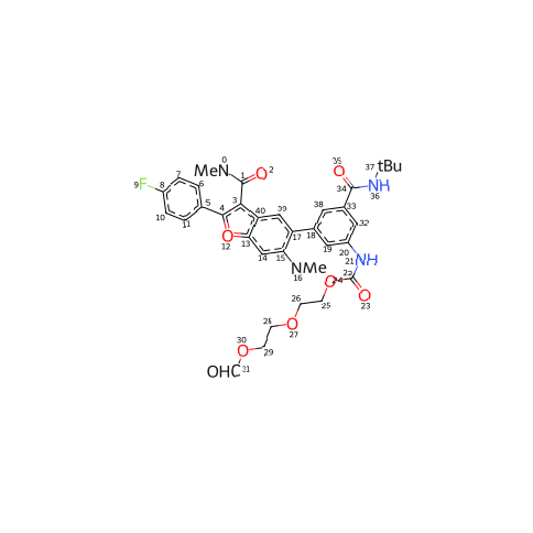 CNC(=O)c1c(-c2ccc(F)cc2)oc2cc(NC)c(-c3cc(NC(=O)OCCOCCOC=O)cc(C(=O)NC(C)(C)C)c3)cc12